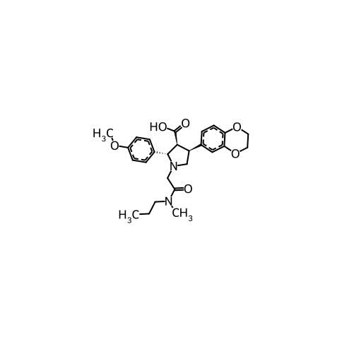 CCCN(C)C(=O)CN1C[C@H](c2ccc3c(c2)OCCO3)[C@H](C(=O)O)[C@H]1c1ccc(OC)cc1